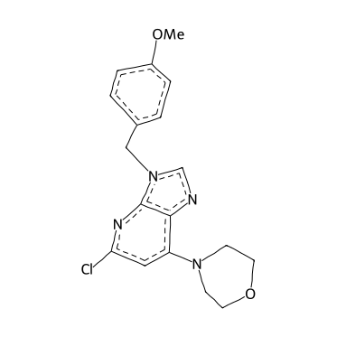 COc1ccc(Cn2cnc3c(N4CCOCC4)cc(Cl)nc32)cc1